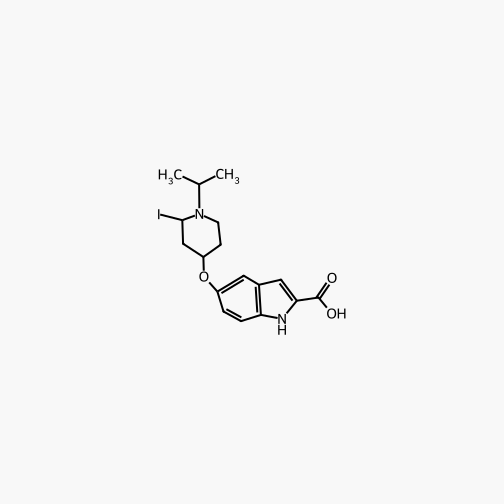 CC(C)N1CCC(Oc2ccc3[nH]c(C(=O)O)cc3c2)CC1I